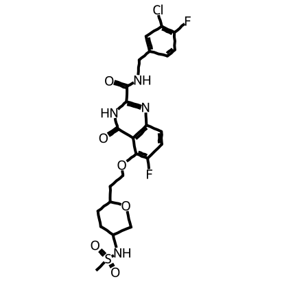 CS(=O)(=O)NC1CCC(CCOc2c(F)ccc3nc(C(=O)NCc4ccc(F)c(Cl)c4)[nH]c(=O)c23)OC1